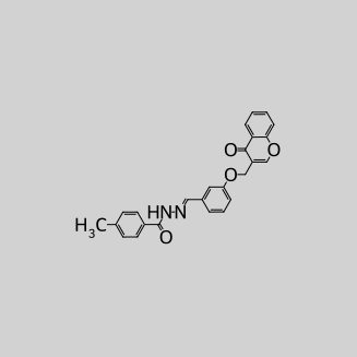 Cc1ccc(C(=O)N/N=C/c2cccc(OCc3coc4ccccc4c3=O)c2)cc1